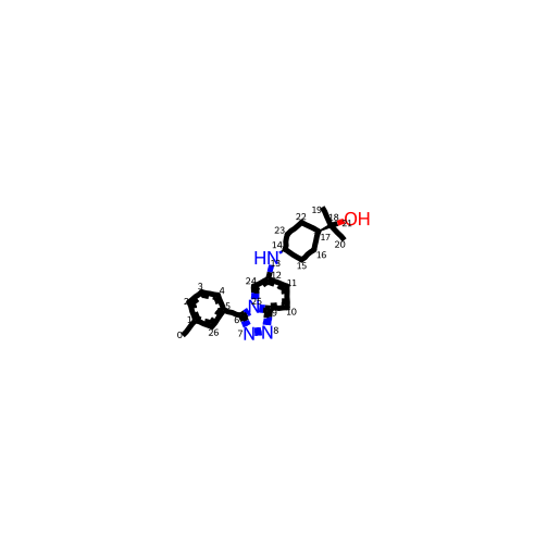 Cc1cccc(-c2nnc3ccc(N[C@H]4CC[C@H](C(C)(C)O)CC4)cn23)c1